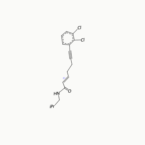 CC(C)CNC(=O)/C=C/CCC#Cc1cccc(Cl)c1Cl